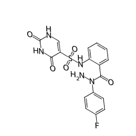 NN(C(=O)c1ccccc1NS(=O)(=O)c1c[nH]c(=O)[nH]c1=O)c1ccc(F)cc1